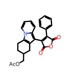 CC(=O)OCC1CCc2c(c(C3=C(c4ccccc4)C(=O)OC3=O)c3ccccn23)C1